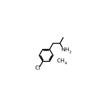 C.CC(N)Cc1ccc(Cl)cc1